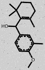 COc1ccc(C(O)C2=C(C)CCCC2(C)C)cc1C